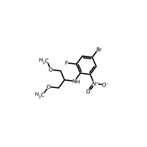 COCC(COC)Nc1c(F)cc(Br)cc1[N+](=O)[O-]